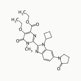 CCOC(=O)c1nc(-c2nc3ccc(N4CCCC4=O)cc3n2C2CCC2)n(C)c(=O)c1OCC